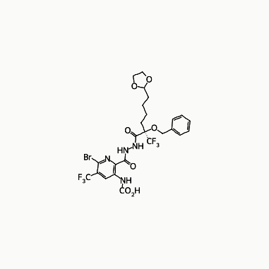 O=C(O)Nc1cc(C(F)(F)F)c(Br)nc1C(=O)NNC(=O)[C@@](CCCCC1OCCO1)(OCc1ccccc1)C(F)(F)F